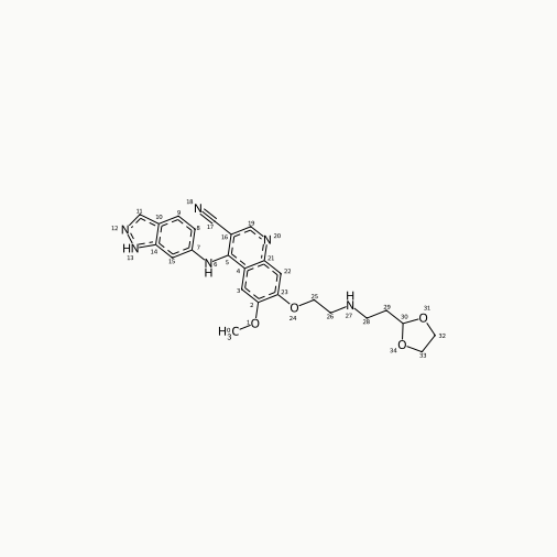 COc1cc2c(Nc3ccc4cn[nH]c4c3)c(C#N)cnc2cc1OCCNCCC1OCCO1